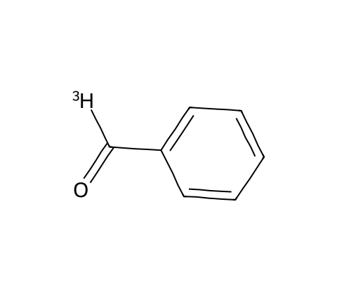 [3H]C(=O)c1ccccc1